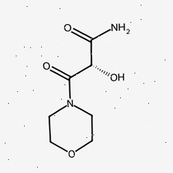 NC(=O)[C@H](O)C(=O)N1CCOCC1